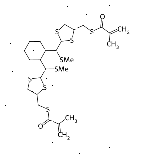 C=C(C)C(=O)SCC1CSC(C(SC)C2CCCCC2C(SC)C2SCC(CSC(=O)C(=C)C)S2)S1